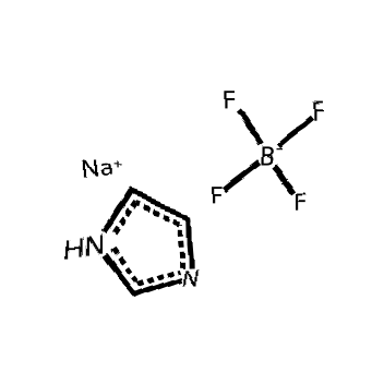 F[B-](F)(F)F.[Na+].c1c[nH]cn1